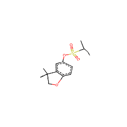 CC(C)S(=O)(=O)Oc1ccc2c(c1)C(C)(C)CO2